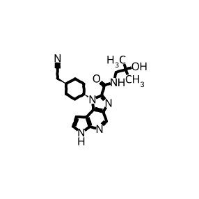 CC(C)(O)CNC(=O)c1nc2cnc3[nH]ccc3c2n1[C@H]1CC[C@H](CC#N)CC1